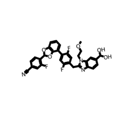 COCCn1c(Cc2cc(F)c(-c3cccc4c3OC(c3ccc(C#N)cc3F)O4)cc2F)nc2ccc(C(O)O)cc21